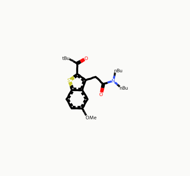 CCCCN(CCCC)C(=O)Cc1c(C(=O)C(C)(C)C)sc2ccc(OC)cc12